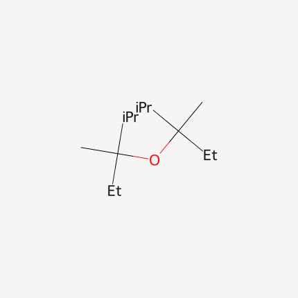 CCC(C)(OC(C)(CC)C(C)C)C(C)C